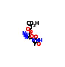 Cc1cn(C2CC(N=[N+]=[N-])C(COC(=O)CC(C)CC(=O)O)O2)c(=O)[nH]c1=O